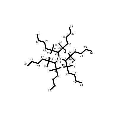 CCCCC(C)(C)[CH]([Cr]([CH](C(C)(C)CCCC)C(C)(C)CCCC)[CH](C(C)(C)CCCC)C(C)(C)CCCC)C(C)(C)CCCC